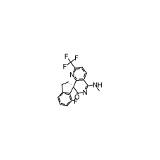 CNC1=NC(=O)[C@]2(CCc3cccc(F)c32)c2nc(C(F)(F)F)ccc21